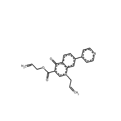 C=CCOC(=O)c1cn(CC=C)c2cc(-c3ccncc3)ccc2c1=O